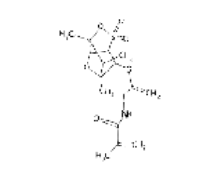 C=C(CNC(=O)C(=C)C)OC1C2C3OC1(C)C(C)C3(C)OS2(=O)=O